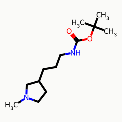 CN1CCC(CCCNC(=O)OC(C)(C)C)C1